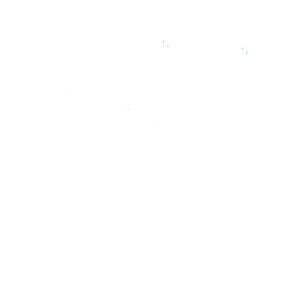 CCc1cc(-c2ccsc2)cc(S(=O)(=O)c2cnc(CN)s2)c1.Cl